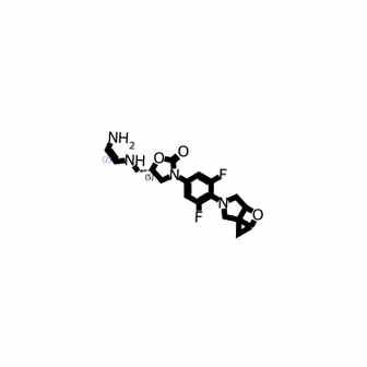 N/C=C\NC[C@H]1CN(c2cc(F)c(N3CC4OC5CC45C3)c(F)c2)C(=O)O1